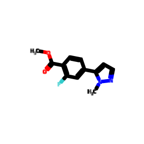 COC(=O)c1ccc(-c2ccnn2C)cc1F